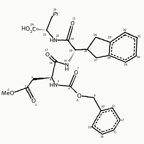 COC(=O)C[C@H](NC(=O)OCc1ccccc1)C(=O)N[C@H](C(=O)N[C@H](C(=O)O)C(C)C)C1Cc2ccccc2C1